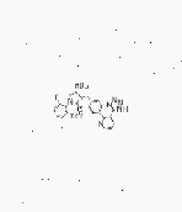 CCCCc1cn(-c2c(F)cccc2CCC)c(=O)n1Cc1ccc(-c2ncccc2-c2nnn[nH]2)cc1